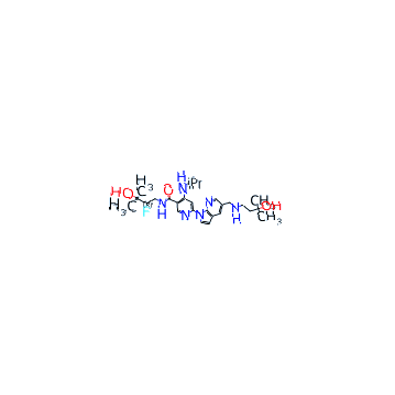 CC(C)Nc1cc(-n2ccc3cc(CNCCC(C)(C)O)cnc32)ncc1C(=O)NC[C@@H](F)C(C)(C)O